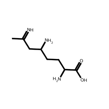 CC(=N)CC(N)CCC(N)C(=O)O